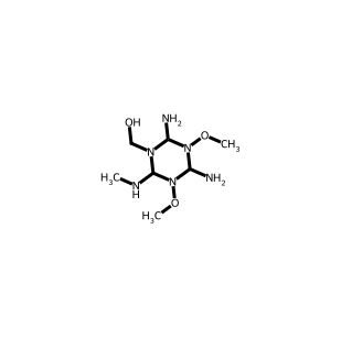 CNC1N(CO)C(N)N(OC)C(N)N1OC